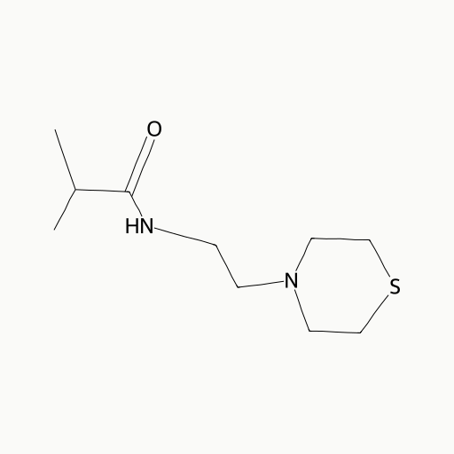 CC(C)C(=O)NCCN1CCSCC1